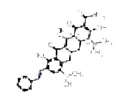 CN(C)c1cc(/C=C/c2ccccc2)c(O)c2c1CC1CC3[C@H](N(C)C)C(O)=C(C(N)=O)C(=O)[C@@]3(O)C(O)=C1C2=O